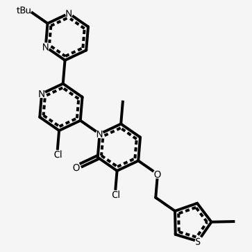 Cc1cc(COc2cc(C)n(-c3cc(-c4ccnc(C(C)(C)C)n4)ncc3Cl)c(=O)c2Cl)cs1